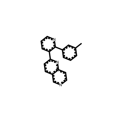 Cc1cccc(-c2ncccc2-c2ccc3cnccc3n2)c1